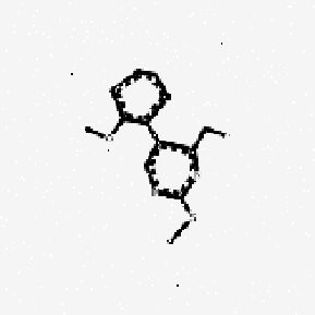 [CH2]Cc1nc(SC)ncc1-c1ccccc1OC